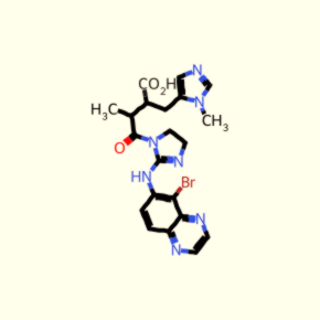 CC(C(=O)N1CCN=C1Nc1ccc2nccnc2c1Br)C(Cc1cncn1C)C(=O)O